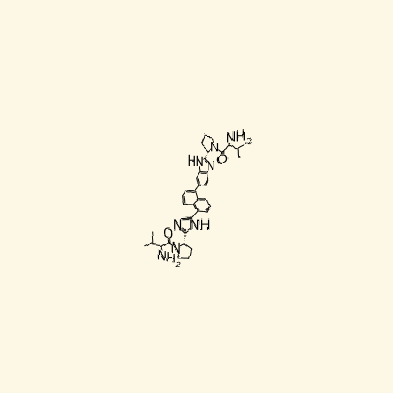 CC(C)[C@H](N)C(=O)N1CCC[C@H]1c1ncc(-c2cccc3c(-c4ccc5nc([C@@H]6CCCN6C(=O)[C@@H](N)C(C)C)[nH]c5c4)cccc23)[nH]1